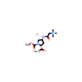 COC(=O)[C@H]1C[C@H](NC(=O)C[N+](C)(C)C)CN1C(=O)OC(C)(C)C.[Cl-]